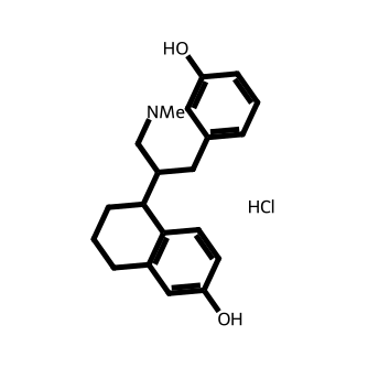 CNCC(Cc1cccc(O)c1)C1CCCc2cc(O)ccc21.Cl